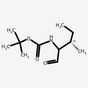 CC[C@H](C)C(C=O)NC(=O)OC(C)(C)C